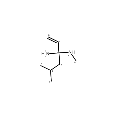 C=CC(N)(CC(C)C)NC